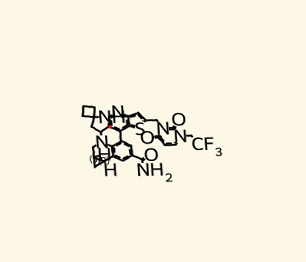 NC(=O)c1cc(-c2ccnc3cc(Cn4c(=O)ccn(CC(F)(F)F)c4=O)sc23)c2c(c1)[C@@H]1C[C@@H]1CN2C1CNC2(CCC2)C1